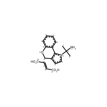 CC(C)(N)n1ccc2c1-c1ccccc1OC2.O=C(O)/C=C/C(=O)O